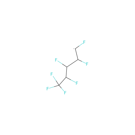 F[CH]C(F)C(F)C(F)C(F)(F)F